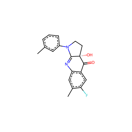 Cc1cccc(N2CC[C@@]3(O)C(=O)c4cc(F)c(C)cc4N=C23)c1